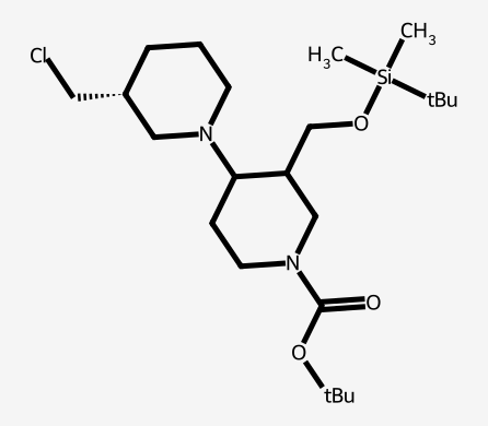 CC(C)(C)OC(=O)N1CCC(N2CCC[C@@H](CCl)C2)C(CO[Si](C)(C)C(C)(C)C)C1